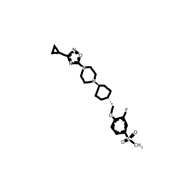 CS(=O)(=O)c1ccc(OC[C@H]2CC[C@H](N3CCN(c4nc(C5CC5)no4)CC3)CC2)c(F)c1